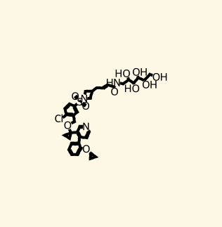 O=C(/C=C/CC1CN(S(=O)(=O)c2ccc(Cl)c(COC3(c4cnccc4-c4ccccc4OC4CC4)CC3)c2)C1)NCC(O)C(O)C(O)C(O)CO